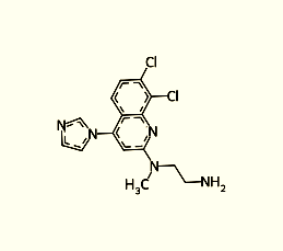 CN(CCN)c1cc(-n2ccnc2)c2ccc(Cl)c(Cl)c2n1